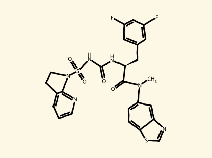 CN(C(=O)[C@H](Cc1cc(F)cc(F)c1)NC(=O)NS(=O)(=O)N1CCc2cccnc21)c1ccc2scnc2c1